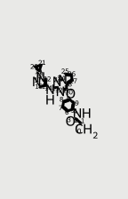 C=CC(=O)Nc1cccc(Oc2nc(Nc3cnn(C4CC4)c3)nn3cccc23)c1